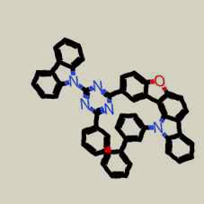 c1ccc(-c2cccc(-n3c4ccccc4c4ccc5oc6ccc(-c7nc(-c8ccccc8)nc(-n8c9ccccc9c9ccccc98)n7)cc6c5c43)c2)cc1